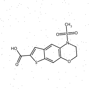 CS(=O)(=O)N1CCOc2cc3sc(C(=O)O)cc3cc21